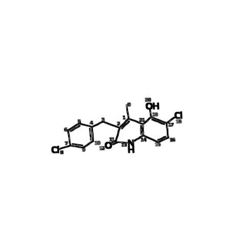 Cc1c(Cc2ccc(Cl)cc2)c(=O)[nH]c2ccc(Cl)c(O)c12